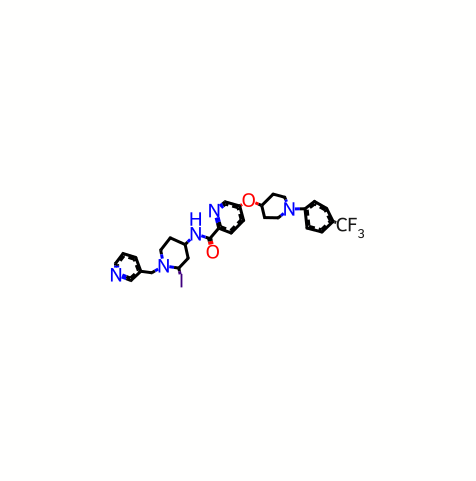 O=C(NC1CCN(Cc2cccnc2)C(I)C1)c1ccc(OC2CCN(c3ccc(C(F)(F)F)cc3)CC2)cn1